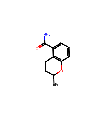 CCCC1CCc2c(cccc2C(N)=O)O1